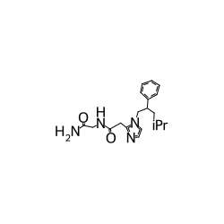 CC(C)CC(Cn1ccnc1CC(=O)NCC(N)=O)c1ccccc1